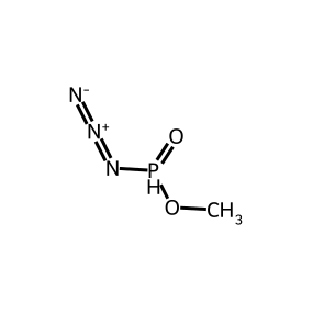 CO[PH](=O)N=[N+]=[N-]